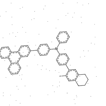 Cc1cc2c(cc1-c1ccc(N(c3ccccc3)c3ccc(-c4ccc5c6ccccc6c6ccccc6c5c4)cc3)cc1)CCCC2